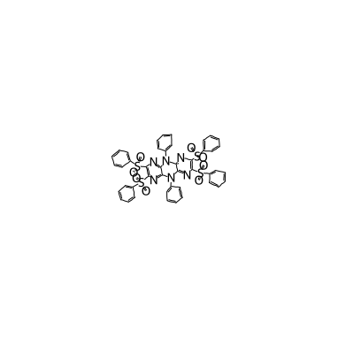 O=S(=O)(c1ccccc1)c1nc2c(nc1S(=O)(=O)c1ccccc1)N(c1ccccc1)c1nc(S(=O)(=O)c3ccccc3)c(S(=O)(=O)c3ccccc3)nc1N2c1ccccc1